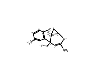 NC1=N[C@](CF)(c2cc(N)ccc2Cl)[C@H]2CC2O1